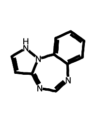 C1=CC2=NC=Nc3ccccc3N2N1